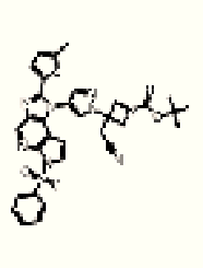 Cc1ccc(-c2nc3cnc4c(ccn4S(=O)(=O)c4ccccc4)c3n2-c2cnn(C3(CC#N)CN(C(=O)OC(C)(C)C)C3)c2)s1